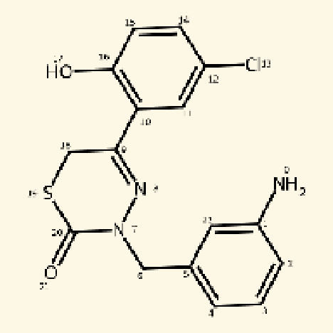 Nc1cccc(CN2N=C(c3cc(Cl)ccc3O)CSC2=O)c1